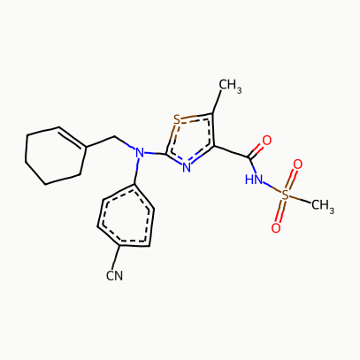 Cc1sc(N(CC2=CCCCC2)c2ccc(C#N)cc2)nc1C(=O)NS(C)(=O)=O